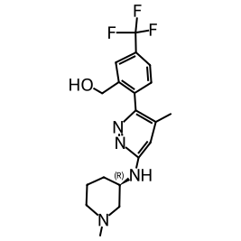 Cc1cc(N[C@@H]2CCCN(C)C2)nnc1-c1ccc(C(F)(F)F)cc1CO